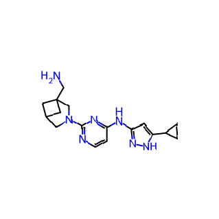 NCC12CC(CN(c3nccc(Nc4cc(C5CC5)[nH]n4)n3)C1)C2